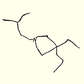 CCC1(CC)CN(CC(C)C)C1